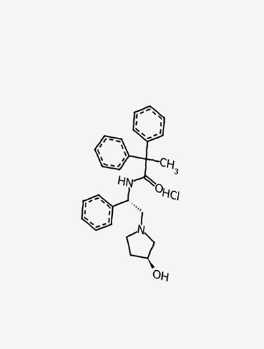 CC(C(=O)N[C@H](CN1CC[C@H](O)C1)c1ccccc1)(c1ccccc1)c1ccccc1.Cl